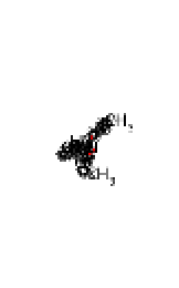 Cc1ccccc1Cc1cc2cnc(Nc3ccc(N4CCN(C)CC4)cc3)nc2n(Cc2nccn2S(=O)(=O)C2CCCC2)c1=O